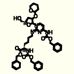 O=C(Nc1ccn(C2O[C@H](CO)CC2OC2CCCCO2)/c(=N/CCCC[C@H](NC(=O)OCc2ccccc2)C(=O)OCC2=CC=CCC2)n1)OCc1ccccc1